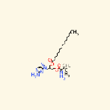 CCCCCCCCCCCCCCCC(=O)OCC(CCOC(=O)[C@@H](N)C(C)C)Cn1cnc2cnc(N)nc21